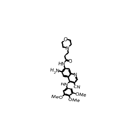 COc1cc(Nc2c(C#N)cnc3cc(NC(=O)CCN4CCOCC4)c(N)cc23)cc(OC)c1OC